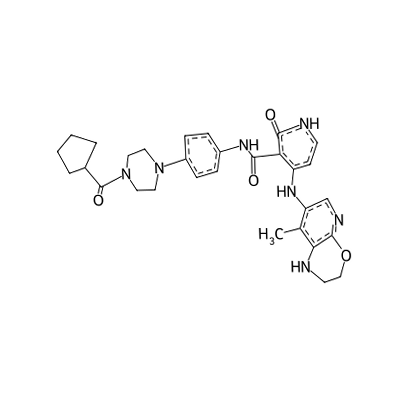 Cc1c(Nc2cc[nH]c(=O)c2C(=O)Nc2ccc(N3CCN(C(=O)C4CCCC4)CC3)cc2)cnc2c1NCCO2